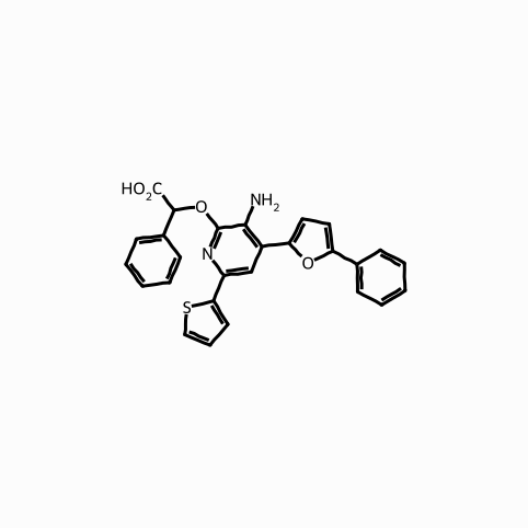 Nc1c(-c2ccc(-c3ccccc3)o2)cc(-c2cccs2)nc1OC(C(=O)O)c1ccccc1